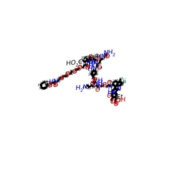 CC[C@@]1(O)C(=O)OCc2c1cc1n(c2=O)Cc2c-1nc1cc(F)c(C)c3c1c2[C@@H](NC(=O)COCNC(=O)[C@H](CCCCN)NC(=O)OCc1ccc(NC(=O)[C@H](CCCNC(N)=O)NC(=O)[C@@H](NC(=O)C(CCC(=O)O)(NC(=O)CCOCCOCCOCCOCCNC(=O)COC2C#CCCCCC2)[SiH2]C)C(C)C)cc1)CC3